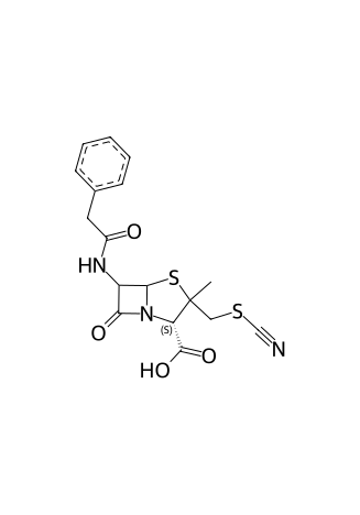 CC1(CSC#N)SC2C(NC(=O)Cc3ccccc3)C(=O)N2[C@H]1C(=O)O